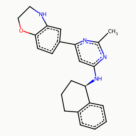 Cc1nc(N[C@@H]2CCCc3ccccc32)cc(-c2ccc3c(c2)NCCO3)n1